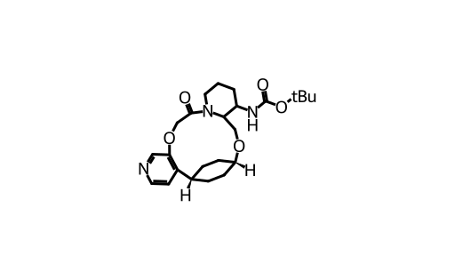 CC(C)(C)OC(=O)NC1CCCN2C(=O)COc3cnccc3[C@H]3CC[C@H](CC3)OCC12